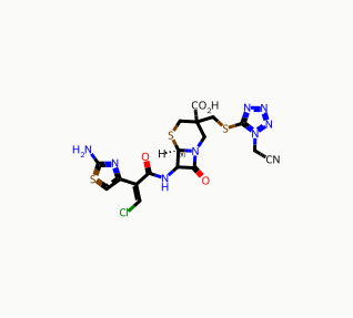 N#CCn1nnnc1SCC1(C(=O)O)CS[C@@H]2C(NC(=O)C(=CCl)c3csc(N)n3)C(=O)N2C1